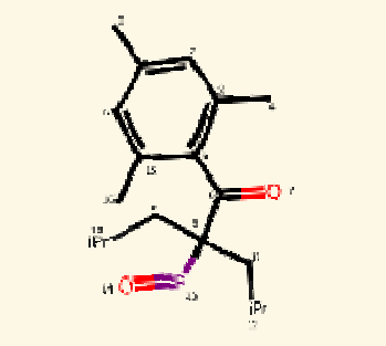 Cc1cc(C)c(C(=O)C(CC(C)C)(CC(C)C)P=O)c(C)c1